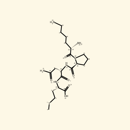 CSCC[C@H](NC(=O)[C@H](CC(N)=O)NC(=O)[C@@H]1CCCN1C(=O)[C@@H](N)CCCCN)C(=O)O